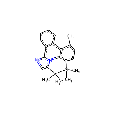 Cc1ccc2c3c1c1ccccc1c1ncc(n13)C(C)(C)[Si]2(C)C